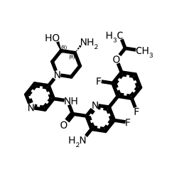 CC(C)Oc1ccc(F)c(-c2nc(C(=O)Nc3cnccc3N3CC[C@@H](N)[C@H](O)C3)c(N)cc2F)c1F